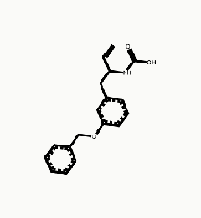 C=CC(Cc1cccc(OCc2ccccc2)c1)NC(=O)O